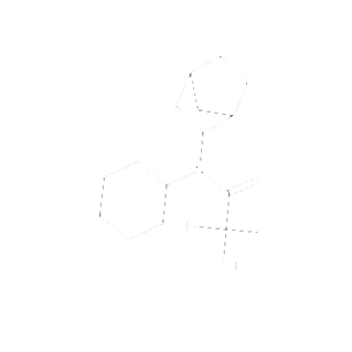 CC(F)(F)C(=O)N(C1CCCCC1)C1CC2CCC1C2